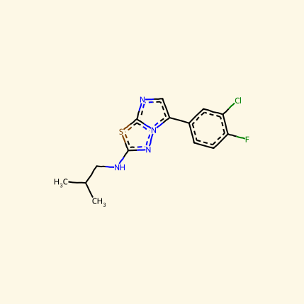 CC(C)CNc1nn2c(-c3ccc(F)c(Cl)c3)cnc2s1